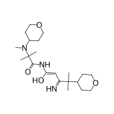 CN(C1CCOCC1)C(C)(C)C(=O)N/C(O)=C/C(=N)C(C)(C)C1CCOCC1